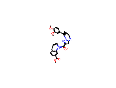 COC(=O)c1ccc2c(c1)N(C(=O)c1cc3nccc(-c4ccc(OC)c(OC)c4)n3n1)CC2